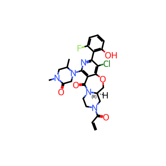 C=CC(=O)N1CCN2C(=O)c3c(N4CC(=O)N(C)CC4C)nc(-c4c(O)cccc4F)c(Cl)c3OC[C@H]2C1